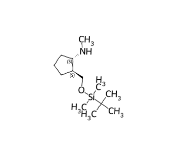 CN[C@H]1CCC[C@@H]1CO[Si](C)(C)C(C)(C)C